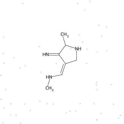 CN/C=C1/CNC(C)C1=N